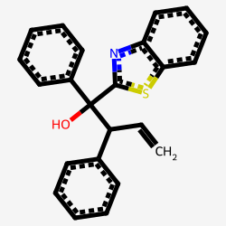 C=CC(c1ccccc1)C(O)(c1ccccc1)c1nc2ccccc2s1